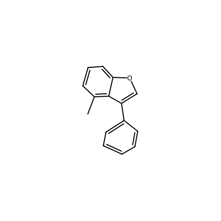 Cc1cccc2occ(-c3ccccc3)c12